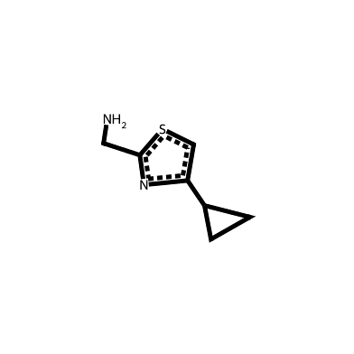 NCc1nc(C2CC2)cs1